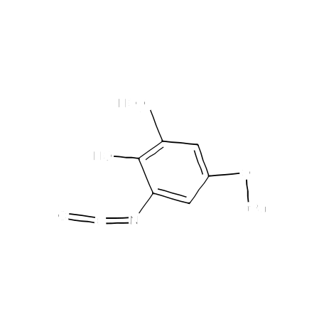 CC(C)(C)Oc1cc(N=C=O)c(O)c(C(=O)O)c1